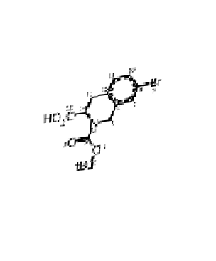 CC(C)(C)OC(=O)N1Cc2cc(Br)ccc2C[C@@H]1C(=O)O